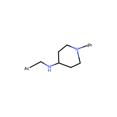 CC(=O)CNC1CCN(C(C)C)CC1